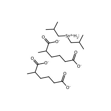 CC(C)[CH2][SnH2+4][CH2]C(C)C.CC(CCCC(=O)[O-])C(=O)[O-].CC(CCCC(=O)[O-])C(=O)[O-]